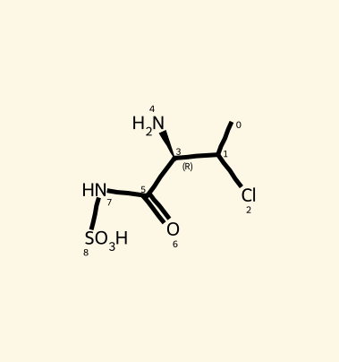 CC(Cl)[C@H](N)C(=O)NS(=O)(=O)O